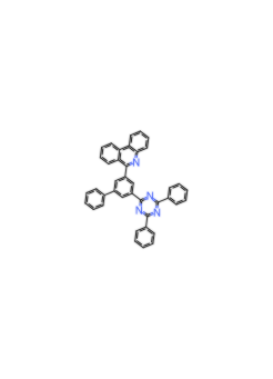 c1ccc(-c2cc(-c3nc(-c4ccccc4)nc(-c4ccccc4)n3)cc(-c3nc4ccccc4c4ccccc34)c2)cc1